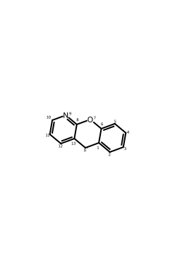 [CH]1c2ccccc2Oc2ncccc21